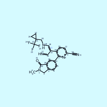 CN1Cc2ccc(-c3nc(C#N)ccc3/C(C=N)=C/NCC3(C(F)(F)F)CC3)cc2C1=O